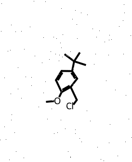 COc1ccc(C(C)(C)C)cc1CCl